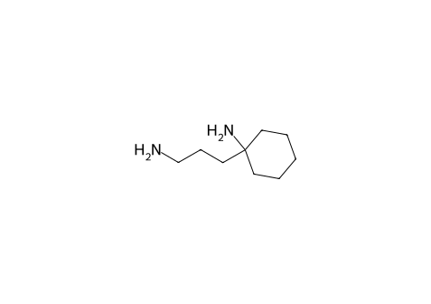 NCCCC1(N)CCCCC1